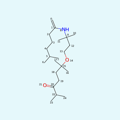 C=C(CCCC(C)C)NC(C)(C)CCOC(C)(C)CCC(=O)C(C)C